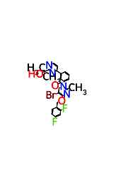 Cc1nc(OCc2ccc(F)cc2F)c(Br)c(=O)n1-c1cccc(-c2ccnc(C(C)(C)O)n2)c1